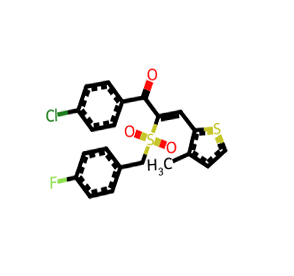 Cc1ccsc1C=C(C(=O)c1ccc(Cl)cc1)S(=O)(=O)Cc1ccc(F)cc1